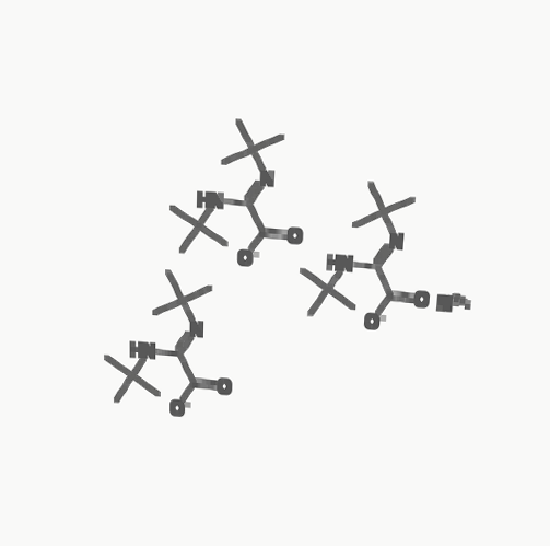 CC(C)(C)N=C(NC(C)(C)C)C(=O)[O-].CC(C)(C)N=C(NC(C)(C)C)C(=O)[O-].CC(C)(C)N=C(NC(C)(C)C)C(=O)[O-].[Bi+3]